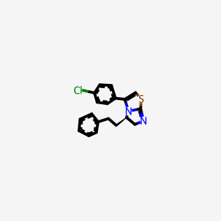 Clc1ccc(C2=CSC3=NC[C@@H](CCc4ccccc4)N23)cc1